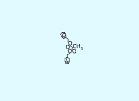 CC(C(=O)OCCC12CC3CC(C1)C(C3)C2)C(=O)OCCC12CC3CC(CC1C3)C2